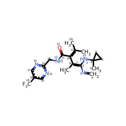 C=N/C(NC1(C)CC1)=C(\C)C(C(=O)NCc1ncc(C(F)(F)F)cn1)=C(C)C